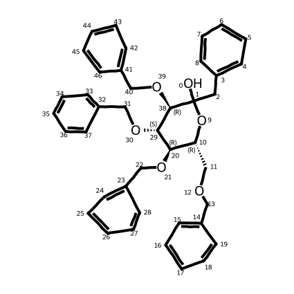 OC1(Cc2ccccc2)O[C@H](COCc2ccccc2)[C@@H](OCc2ccccc2)[C@H](OCc2ccccc2)[C@H]1OCc1ccccc1